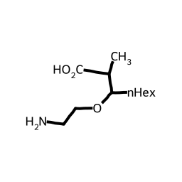 CCCCCCC(OCCN)C(C)C(=O)O